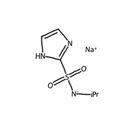 CC(C)[N-]S(=O)(=O)c1ncc[nH]1.[Na+]